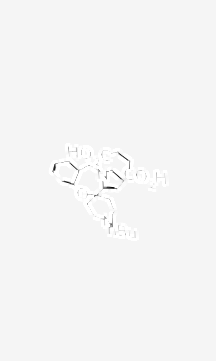 CCCCN1CCC2(CC1)Oc1ccccc1Cn1cccc12.O=C(O)/C=C\C(=O)O